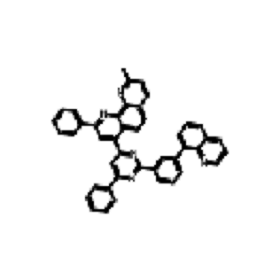 Cc1ccc2ccc3c(-c4cc(-c5ccccc5)nc(-c5cccc(-c6cccc7cccnc67)c5)n4)cc(-c4ccccc4)nc3c2n1